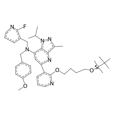 COc1ccc(CN(Cc2cccnc2F)c2cc(-c3cccnc3OCCCCO[Si](C)(C)C(C)(C)C)nc3c(C)nn(C(C)C)c23)cc1